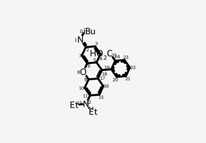 CCC(C)/N=C1\C=CC2C(=C1)OC1C=C(N(CC)CC)C=CC1=C2c1ccccc1C(=O)O